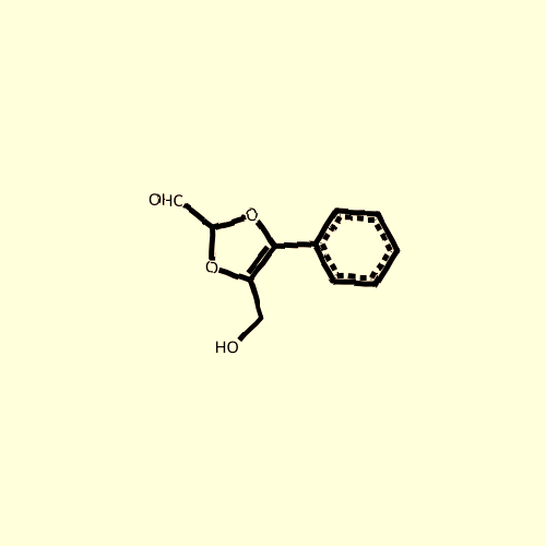 O=CC1OC(CO)=C(c2ccccc2)O1